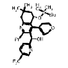 CC(C)c1nc2c(c(C3=CCOCC3)c1[C@@H](O)c1ccc(C(F)(F)F)cn1)[C@@H](O[Si](C)(C)C(C)(C)C)CC(C)(C)C2